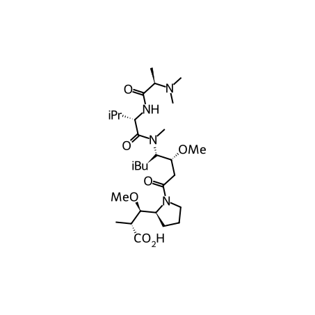 CC[C@H](C)[C@@H]([C@@H](CC(=O)N1CCC[C@H]1[C@H](OC)[C@@H](C)C(=O)O)OC)N(C)C(=O)[C@@H](NC(=O)[C@@H](C)N(C)C)C(C)C